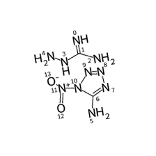 N=C(N)NN.Nc1nnnn1[N+](=O)[O-]